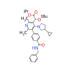 Cc1nc(C)c(C(OC(C)(C)C)C(=O)OC(C)C)c(N2CCC(C3CC3)C2)c1-c1ccc(C(=O)NCc2ccccc2)cc1